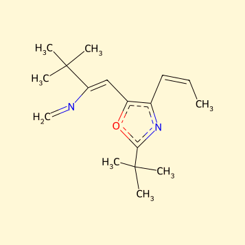 C=N/C(=C\c1oc(C(C)(C)C)nc1/C=C\C)C(C)(C)C